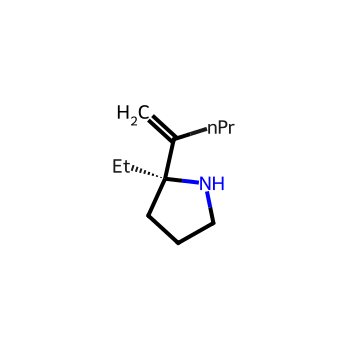 C=C(CCC)[C@]1(CC)CCCN1